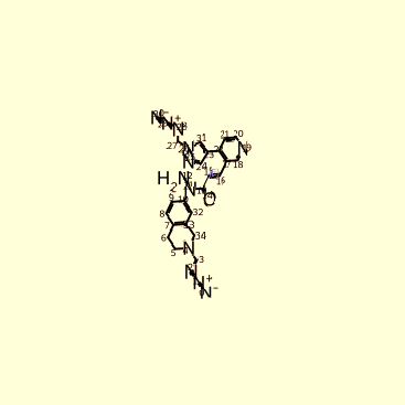 [N-]=[N+]=NCN1CCc2ccc(N(N)C(=O)/C=C/c3cnccc3-c3cnn(CN=[N+]=[N-])c3)cc2C1